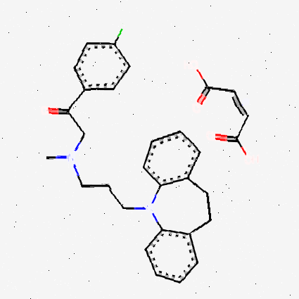 CN(CCCN1c2ccccc2CCc2ccccc21)CC(=O)c1ccc(Cl)cc1.O=C(O)/C=C\C(=O)O